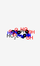 CC(C)c1cc(-c2nnc(O)n2-c2ccc3c(ccn3CCN(C(=O)O)c3cccc4c3CN(C3CCC(=O)NC3=O)C4=O)c2)c(O)cc1O